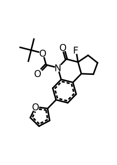 CC(C)(C)OC(=O)N1C(=O)C2(F)CCCC2c2ccc(-c3ccco3)cc21